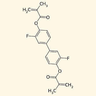 C=C(C)C(=O)Oc1ccc(-c2ccc(OC(=O)C(=C)C)c(F)c2)cc1F